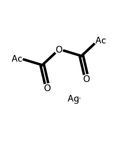 CC(=O)C(=O)OC(=O)C(C)=O.[Ag]